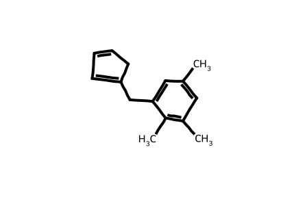 Cc1cc(C)c(C)c(CC2=CC=CC2)c1